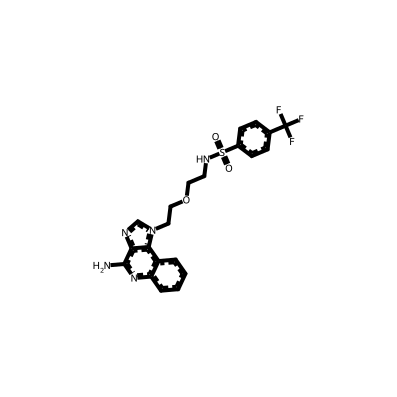 Nc1nc2ccccc2c2c1ncn2CCOCCNS(=O)(=O)c1ccc(C(F)(F)F)cc1